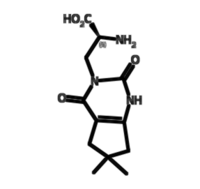 CC1(C)Cc2[nH]c(=O)n(C[C@H](N)C(=O)O)c(=O)c2C1